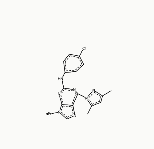 CCCn1cnc2c(-n3nc(C)cc3C)nc(Nc3ccc(Cl)cc3)nc21